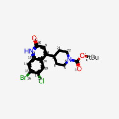 CC(C)(C)OC(=O)N1CCC(c2cc(=O)[nH]c3cc(Br)c(Cl)cc23)CC1